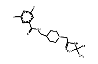 CCC(C)(C)NC(=O)CN1CCC(CNC(=O)c2cc(F)cc(Cl)c2)CC1